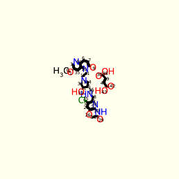 COc1cnc2ccc(=O)n(CCN3C[C@H](CNCc4nc5c(cc4Cl)OCC(=O)N5)[C@H](O)C3)c2c1.O=C(O)/C=C/C(=O)O